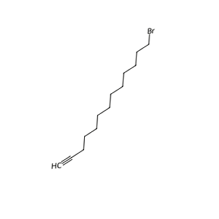 C#CCCCCCCCCCCCBr